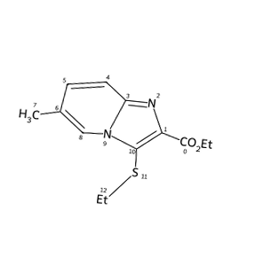 CCOC(=O)c1nc2ccc(C)cn2c1SCC